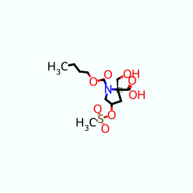 CCCCOC(=O)N1CC(OS(C)(=O)=O)C[C@@]1(CO)C(=O)O